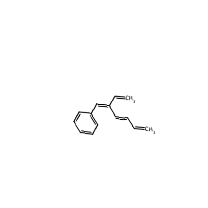 C=CC=CC(C=C)=Cc1ccccc1